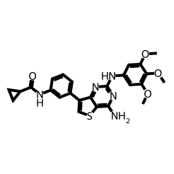 COc1cc(Nc2nc(N)c3scc(-c4cccc(NC(=O)C5CC5)c4)c3n2)cc(OC)c1OC